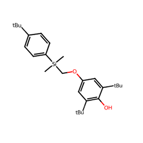 CC(C)(C)c1ccc([Si](C)(C)COc2cc(C(C)(C)C)c(O)c(C(C)(C)C)c2)cc1